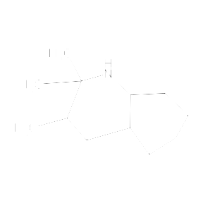 CC1CC2CCCCC2NC1(C)C